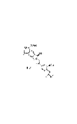 Br.CNC(=O)c1cc2c(cc1N(C)C)CN(CC(=O)c1ccc(OC(=O)N(C)C)c(C(C)(C)C)c1)C2=N